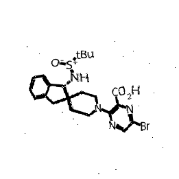 CC(C)(C)[S+]([O-])N[C@@H]1c2ccccc2CC12CCN(c1ncc(Br)nc1C(=O)O)CC2